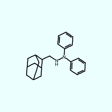 c1ccc(N(NCC2C3CC4CC(C3)CC2C4)c2ccccc2)cc1